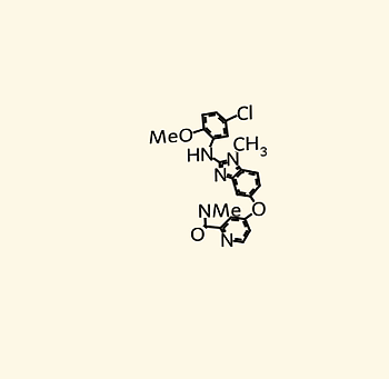 CNC(=O)c1cc(Oc2ccc3c(c2)nc(Nc2cc(Cl)ccc2OC)n3C)ccn1